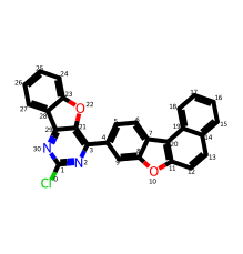 Clc1nc(-c2ccc3c(c2)oc2ccc4ccccc4c23)c2oc3ccccc3c2n1